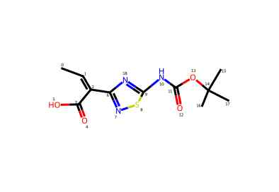 C/C=C(\C(=O)O)c1nsc(NC(=O)OC(C)(C)C)n1